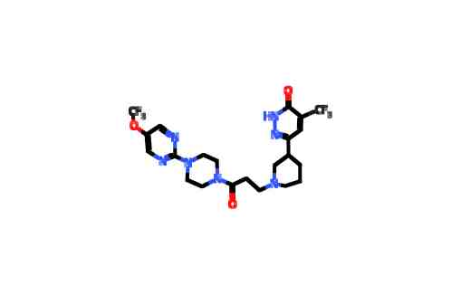 O=C(CCN1CCCC(c2cc(C(F)(F)F)c(=O)[nH]n2)C1)N1CCN(c2ncc(OC(F)(F)F)cn2)CC1